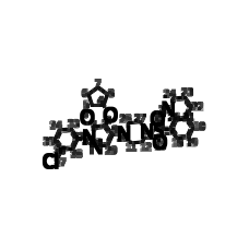 O=c1c(OC2CCCC2)c(N2CCN(S(=O)(=O)c3cccc4cccnc34)CC2)cnn1-c1cccc(Cl)c1